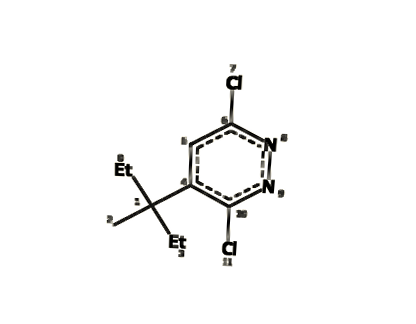 CCC(C)(CC)c1cc(Cl)nnc1Cl